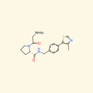 CC(=O)NCC(=O)N1CCC[C@H]1C(=O)NCc1ccc(-c2scnc2C)cc1